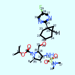 CC(C)OC(=O)N1[C@H](C)C[C@H](NS(=O)(=O)N(C)C)[C@@H]1CO[C@@H]1CC[C@]2(c3ncc(F)cn3)C[C@@H]2C1